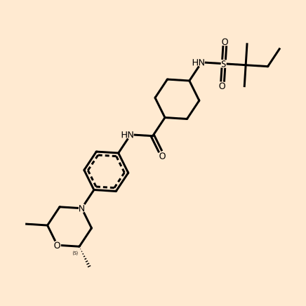 CCC(C)(C)S(=O)(=O)NC1CCC(C(=O)Nc2ccc(N3CC(C)O[C@@H](C)C3)cc2)CC1